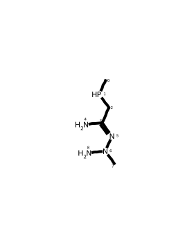 CPC/C(N)=N/N(C)N